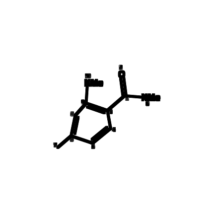 CNC(=O)c1ccc(C)cc1NC